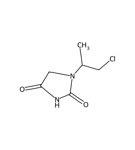 CC(CCl)N1CC(=O)NC1=O